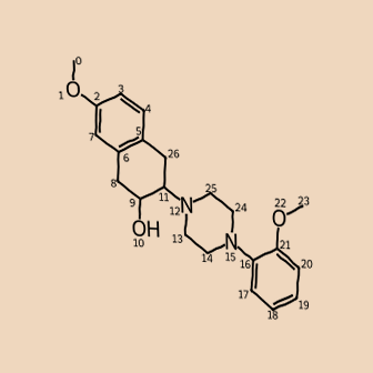 COc1ccc2c(c1)CC(O)C(N1CCN(c3ccccc3OC)CC1)C2